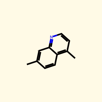 Cc1[c]c2nccc(C)c2cc1